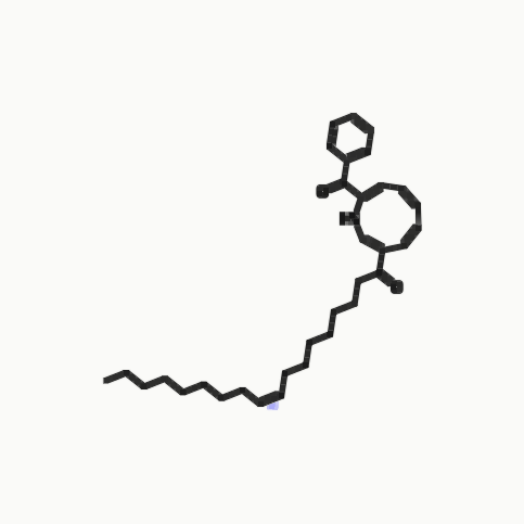 CCCCCCCC/C=C\CCCCCCCC(=O)c1cccccc(C(=O)c2ccccc2)[nH]c1